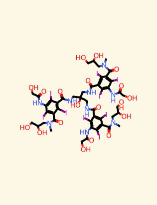 CN(CC(O)CO)C(=O)c1c(I)c(NC(=O)CO)c(I)c(C(=O)NCC(O)(CNC(=O)c2c(I)c(NC(=O)CO)c(I)c(C(=O)N(C)CC(O)CO)c2I)CNC(=O)c2c(I)c(NC(=O)CO)c(I)c(C(=O)N(C)CC(O)CO)c2I)c1I